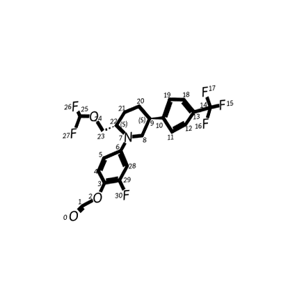 O=COc1ccc(N2C[C@H](c3ccc(C(F)(F)F)cc3)CC[C@H]2COC(F)F)cc1F